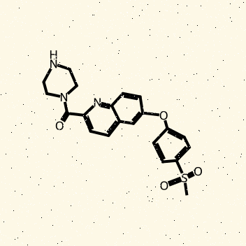 CS(=O)(=O)c1ccc(Oc2ccc3nc(C(=O)N4CCNCC4)ccc3c2)cc1